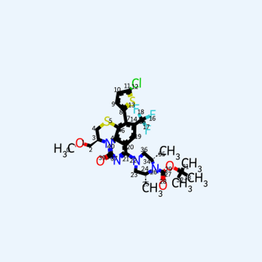 COC[C@H]1CSc2c(-c3ccc(Cl)s3)c(C(F)(F)F)cc3c(N4C[C@@H](C)N(C(=O)OC(C)(C)C)[C@@H](C)C4)nc(=O)n1c23